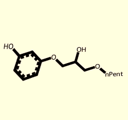 CCCCCOCC(O)COc1cccc(O)c1